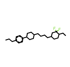 CCCc1ccc(C2CCC(CCCCC3CCC(CC)C(F)(F)C3)CC2)cc1